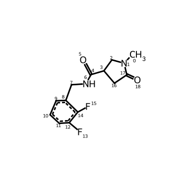 CN1CC(C(=O)NCc2cccc(F)c2F)CC1=O